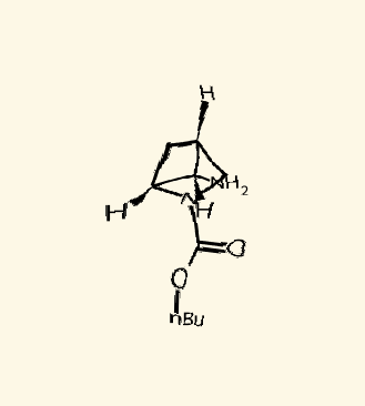 CCCCOC(=O)N1C[C@H]2C[C@@H]1[C@H]2N